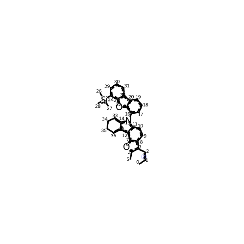 C/C=C\c1c(C)oc2c1ccc1c2c2c(n1-c1cccc3c1oc1c([Si](C)(C)C)cccc13)=CCCC=2